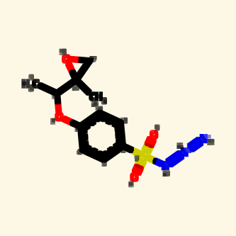 CC(Oc1ccc(S(=O)(=O)N=[N+]=[N-])cc1)C1(C)CO1